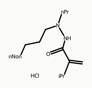 C=C(C(=O)NN(CCC)CCCCCCCCCCCC)C(C)C.Cl